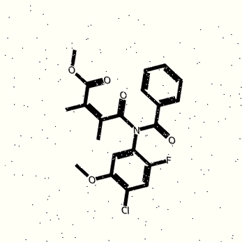 COC(=O)C(C)=C(C)C(=O)N(C(=O)c1ccccc1)c1cc(OC)c(Cl)cc1F